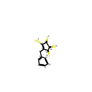 S=c1c(S)c(Cc2ccccc2)c(=S)c1=S